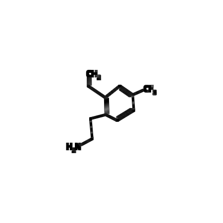 C=Cc1cc(C(F)(F)F)ccc1CCN